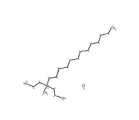 CCCCCCCCCCCCC[N+](C)(CCO)CCO.[Cl-]